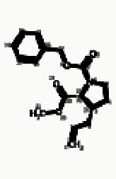 C=CC[C@@H]1CCN(C(=O)OCc2ccccc2)[C@H]1C(=O)OC